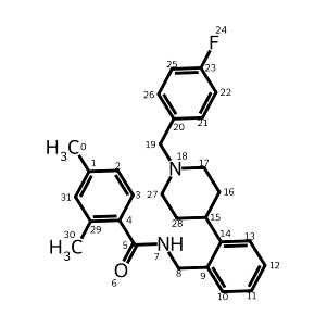 Cc1ccc(C(=O)NCc2ccccc2C2CCN(Cc3ccc(F)cc3)CC2)c(C)c1